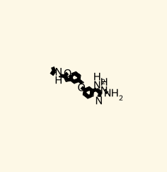 C=C(C)NCc1cc2cc(COc3cccc(/C(N)=C(\C#N)NN)c3)ccc2o1